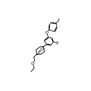 CCOCCC12CCC(c3cc(F)cc(Oc4ccc(F)cc4)c3)(CC1)OC2